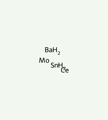 [BaH2].[Ce].[Mo].[SnH2]